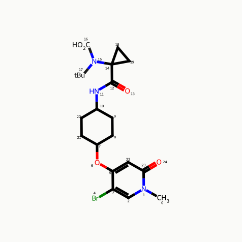 Cn1cc(Br)c(OC2CCC(NC(=O)C3(N(C(=O)O)C(C)(C)C)CC3)CC2)cc1=O